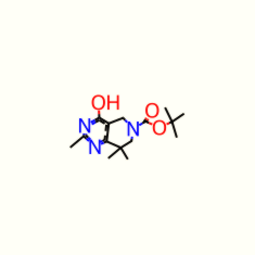 Cc1nc(O)c2c(n1)C(C)(C)CN(C(=O)OC(C)(C)C)C2